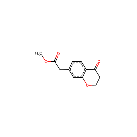 COC(=O)Cc1ccc2c(c1)OCCC2=O